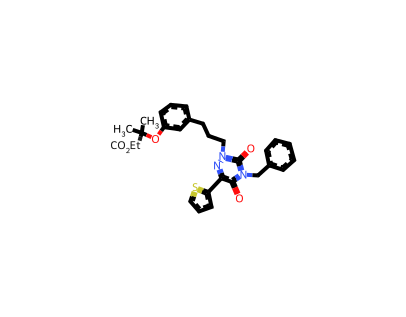 CCOC(=O)C(C)(C)Oc1cccc(CCCn2nc(-c3cccs3)c(=O)n(Cc3ccccc3)c2=O)c1